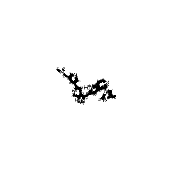 Cc1cn(-c2nccc3[nH]c(-c4n[nH]c5cnc(-c6cncc(CN(C)C)c6)cc45)cc23)cn1